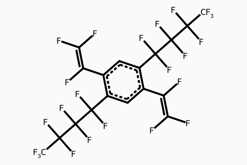 FC(F)=C(F)c1cc(C(F)(F)C(F)(F)C(F)(F)C(F)(F)F)c(C(F)=C(F)F)cc1C(F)(F)C(F)(F)C(F)(F)C(F)(F)F